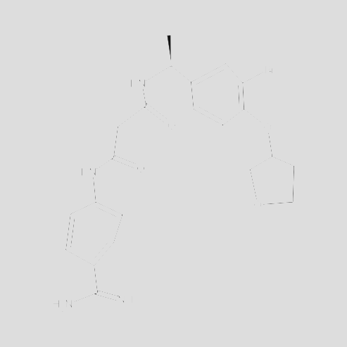 C[C@H](NC(=O)CC(=O)Nc1ccc(C(=N)N)cc1)c1ccc(OC2CCOC2)c(Br)c1